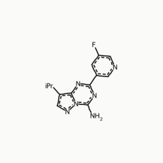 CC(C)c1cnn2c(N)nc(-c3cncc(F)c3)nc12